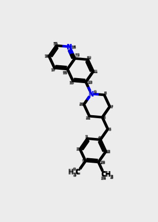 Cc1ccc(CC2CCN(c3ccc4ncccc4c3)CC2)cc1C